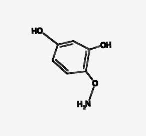 NOc1ccc(O)cc1O